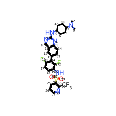 CN(C)C1CCC(Nc2ncc3cc(-c4c(F)ccc(NS(=O)(=O)c5cccnc5C(F)(F)F)c4F)ccc3n2)CC1